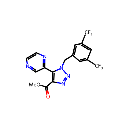 COC(=O)c1nnn(Cc2cc(C(F)(F)F)cc(C(F)(F)F)c2)c1-c1cnccn1